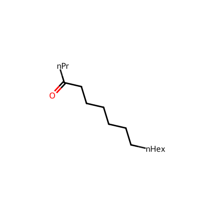 CCCCCCCCCCCCC(=O)CCC